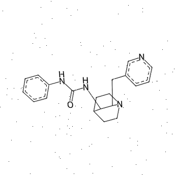 O=C(Nc1ccccc1)NC1C2CCN(CC2)C1Cc1cccnc1